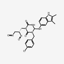 Cc1[nH]c2ccc(NC3NC(=O)N(C[C@@H](CN=O)N=O)C(=O)N3Cc3ccc(Cl)cc3)cc2c1C